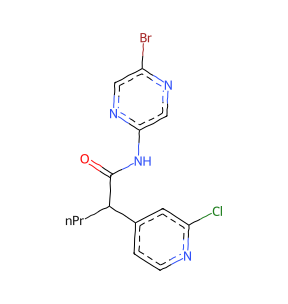 CCCC(C(=O)Nc1cnc(Br)cn1)c1ccnc(Cl)c1